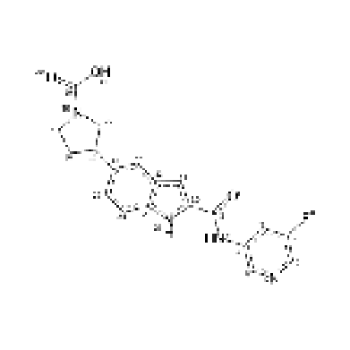 O=C(Nc1cncc(F)c1)c1cc2cc(C3CCN(C(=O)O)C3)ccc2[nH]1